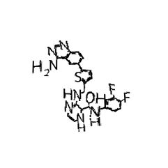 Nc1ncnc2ccc(-c3ccc(CNC4=NC=CNC4[C@H](O)Nc4ccc(F)c(F)c4)s3)cc12